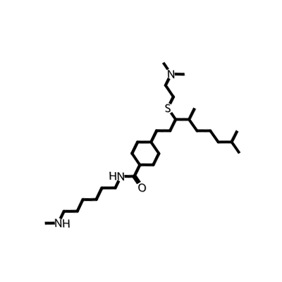 CNCCCCCCNC(=O)C1CCC(CCC(SCCN(C)C)C(C)CCCC(C)C)CC1